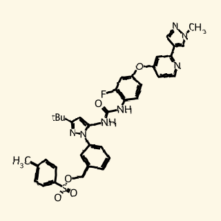 Cc1ccc(S(=O)(=O)OCc2cccc(-n3nc(C(C)(C)C)cc3NC(=O)Nc3ccc(Oc4ccnc(-c5cnn(C)c5)c4)cc3F)c2)cc1